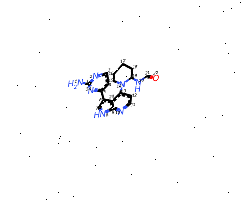 Nc1nccc(-c2c[nH]c3nccc(N4CCCCC4N[C]=O)c23)n1